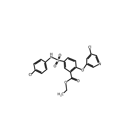 CCOC(=O)c1cc(S(=O)(=O)Nc2ccc(Cl)cc2)ccc1Oc1cncc(Cl)c1